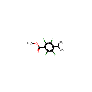 COC(=O)c1c(F)c(F)c(C(C)C)c(F)c1F